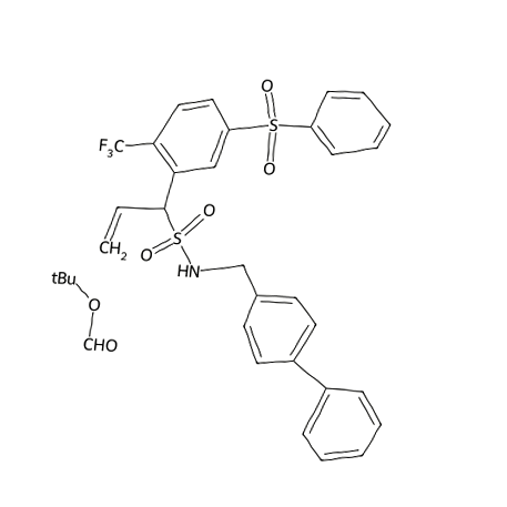 C=CC(c1cc(S(=O)(=O)c2ccccc2)ccc1C(F)(F)F)S(=O)(=O)NCc1ccc(-c2ccccc2)cc1.CC(C)(C)OC=O